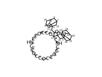 O=C(CC12CC3CC(CC(C3)C1)C2)C1(C(=O)CC23CC4CC(CC(C4)C2)C3)CNCCOCCOCCOCCNCCOCCO1